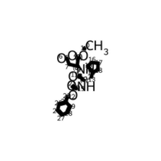 CCO[C@@H]1OC(=O)C[C@@H]1NC(=O)[C@H](CC1CCCC1)NC(=O)OCc1ccccc1